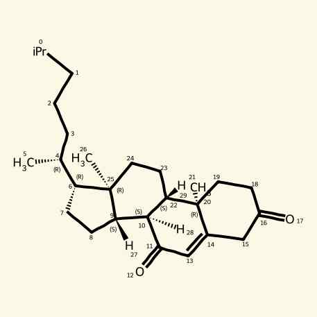 CC(C)CCC[C@@H](C)[C@H]1CC[C@H]2[C@@H]3C(=O)C=C4CC(=O)CC[C@]4(C)[C@H]3CC[C@]12C